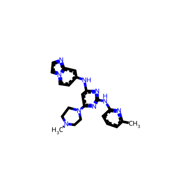 Cc1cccc(Nc2nc(Nc3ccn4ccnc4c3)cc(N3CCN(C)CC3)n2)n1